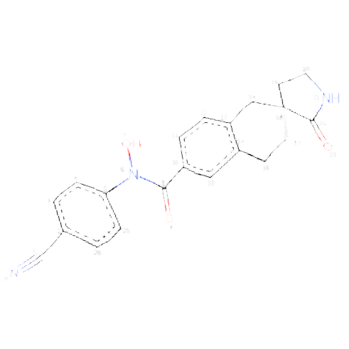 N#Cc1ccc(N(O)C(=O)c2ccc3c(c2)CC[C@@]2(CCNC2=O)C3)cc1